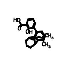 CN(C)CC1=C2CCCC1c1cccc(-c3cccc(C(=O)O)c3O)c12